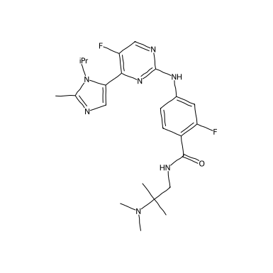 Cc1ncc(-c2nc(Nc3ccc(C(=O)NCC(C)(C)N(C)C)c(F)c3)ncc2F)n1C(C)C